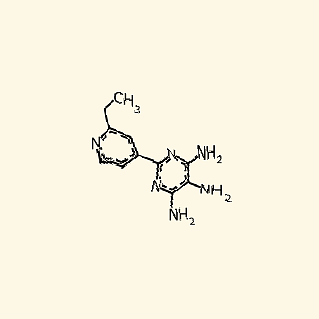 CCc1cc(-c2nc(N)c(N)c(N)n2)ccn1